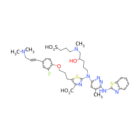 Cc1cc(N(CCCC(O)CN(C)CCCS(=O)(=O)O)c2nc(C(=O)O)c(CCCOc3ccc(C#CCN(C)C)cc3F)s2)nnc1Nc1nc2ccccc2s1